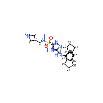 CN1CC(CNS(=O)(=O)c2nnc(Nc3c4c(cc5c3CCC5)CCC4)[nH]2)C1